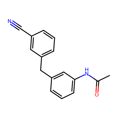 CC(=O)Nc1cccc(Cc2cccc(C#N)c2)c1